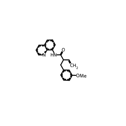 C=CC(Cc1cccc(OC)c1)C(=O)Nc1cccc2cccnc12